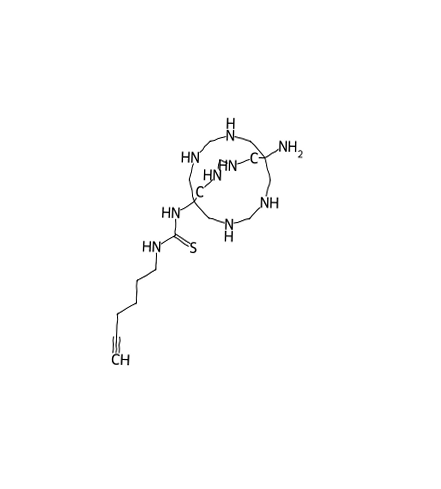 C#CCCCCNC(=S)NC12CNCNCC(N)(CNCNC1)CNCNC2